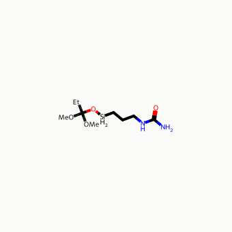 CCC(OC)(OC)O[SiH2]CCCNC(N)=O